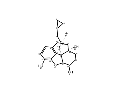 [O-][N@@+]1(CC2CC2)CC[C@@]23c4c5ccc(O)c4OC2[C@H](O)CC[C@]3(O)C1C5